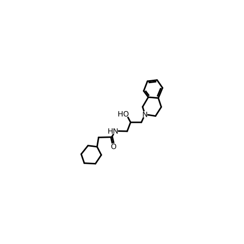 O=C(CC1CCCCC1)NCC(O)CN1CCc2ccccc2C1